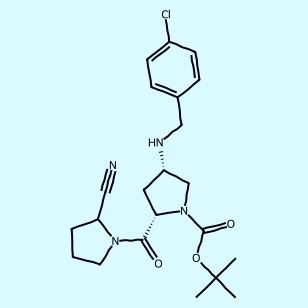 CC(C)(C)OC(=O)N1C[C@@H](NCc2ccc(Cl)cc2)C[C@H]1C(=O)N1CCCC1C#N